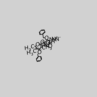 CC1O[C@@H](O[C@H]2C(OCc3ccccc3)C(N=[N+]=[N-])[C@@H]3OC[C@@H]2O3)C(C)[C@H](OCc2ccccc2)[C@H]1C